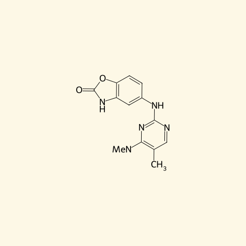 CNc1nc(Nc2ccc3oc(=O)[nH]c3c2)ncc1C